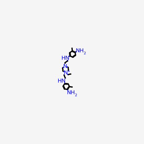 CC[N+]1(CCNc2ccc(N)c(C)c2)CCN(CCNc2ccc(N)c(C)c2)CC1